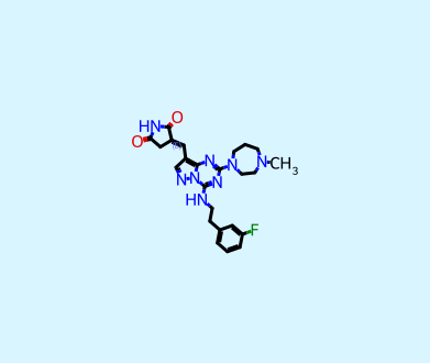 CN1CCCN(c2nc(NCCc3cccc(F)c3)n3ncc(/C=C4\CC(=O)NC4=O)c3n2)CC1